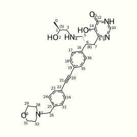 C[C@H](O)CNC[C@H](Cc1nc[nH]c(=O)c1O)c1ccc(C#Cc2ccc(CN3CCOCC3)cc2)cc1